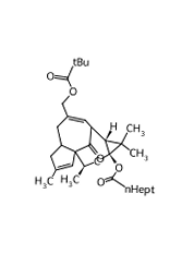 CCCCCCCC(=O)O[C@@]12C[C@@H](C)C34C=C(C)CC3CC(COC(=O)C(C)(C)C)=CC(C4=O)[C@@H]1C2(C)C